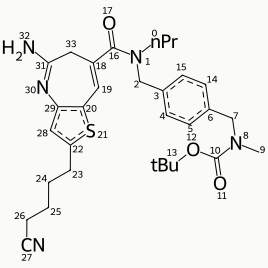 CCCN(Cc1ccc(CN(C)C(=O)OC(C)(C)C)cc1)C(=O)C1=Cc2sc(CCCCC#N)cc2N=C(N)C1